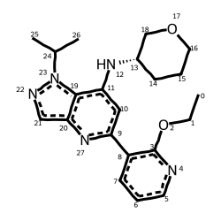 CCOc1ncccc1-c1cc(N[C@H]2CCCOC2)c2c(cnn2C(C)C)n1